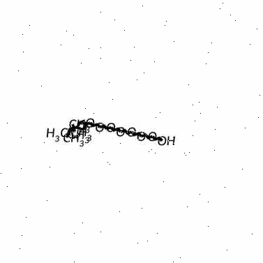 CC(C)(C)CC(C)(C)C1CCC(OCCOCCOCCOCCOCCOCCOCCO)CC1